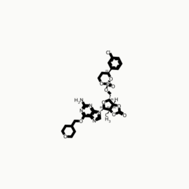 C[C@@]12OC(=O)O[C@@H]1[C@@H](CO[P@@]1(=O)OCC[C@@H](c3cccc(Cl)c3)O1)O[C@H]2n1cnc2c(OCC3CCOCC3)nc(N)nc21